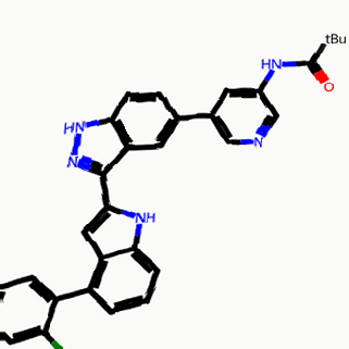 CC(C)(C)C(=O)Nc1cncc(-c2ccc3[nH]nc(-c4cc5c(-c6ccccc6F)cccc5[nH]4)c3c2)c1